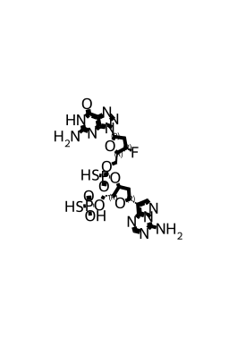 Nc1nc2c(nnn2[C@H]2C[C@@H](F)[C@@H](COP(=O)(S)OC3C[C@H](c4cnn5c(N)ncnc45)O[C@@H]3COP(=O)(O)S)O2)c(=O)[nH]1